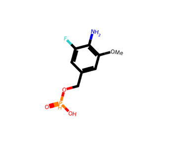 COc1cc(CO[PH](=O)O)cc(F)c1N